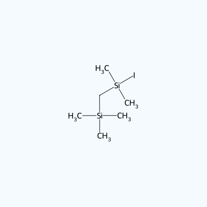 C[Si](C)(C)C[Si](C)(C)I